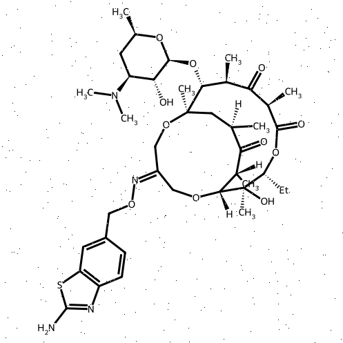 CC[C@H]1OC(=O)[C@H](C)C(=O)[C@H](C)[C@@H](O[C@@H]2O[C@H](C)C[C@H](N(C)C)[C@H]2O)[C@@]2(C)C[C@@H](C)C(=O)[C@H](C)[C@@H](OC/C(=N\OCc3ccc4nc(N)sc4c3)CO2)[C@]1(C)O